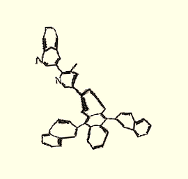 Cc1cc(-c2ccc3c(-c4ccc5ccccc5c4)c4c(c(-c5ccc6ccccc6c5)c3c2)=CCCC=4)cnc1-c1cnc2ccccc2c1